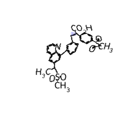 CC(CS(C)(=O)=O)c1cc(-c2cccc(/C=C(/C(=O)O)c3ccc(S(C)(=O)=O)cc3)c2)c2ncccc2c1